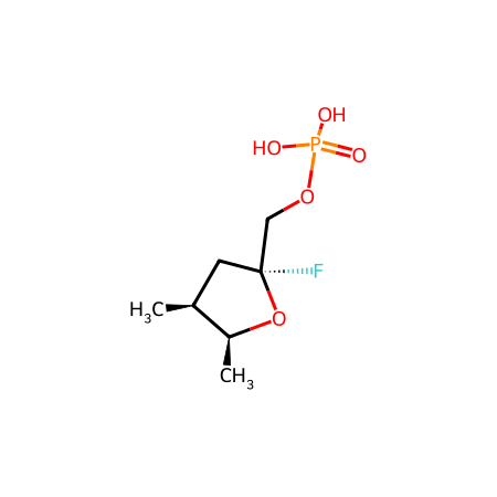 C[C@@H]1O[C@](F)(COP(=O)(O)O)C[C@@H]1C